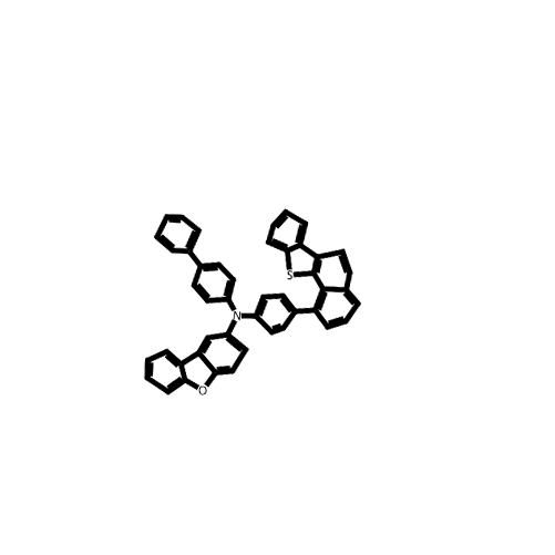 c1ccc(-c2ccc(N(c3ccc(-c4cccc5ccc6c7ccccc7sc6c45)cc3)c3ccc4oc5ccccc5c4c3)cc2)cc1